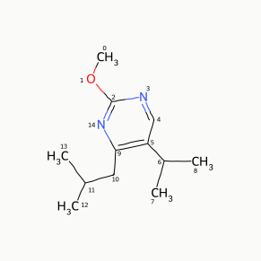 COc1ncc(C(C)C)c(CC(C)C)n1